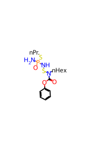 CCCCCCN(SNP(N)(=O)SCCC)C(=O)Oc1ccccc1